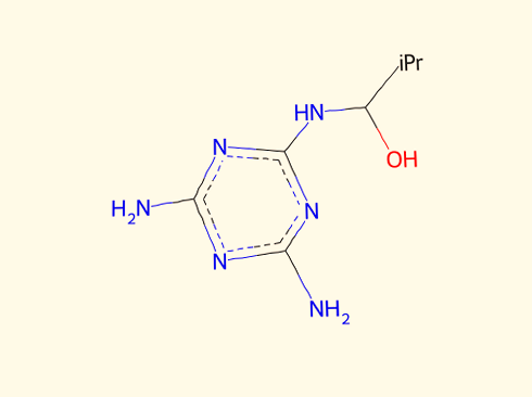 CC(C)C(O)Nc1nc(N)nc(N)n1